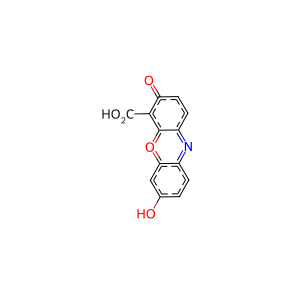 O=C(O)c1c2oc3cc(O)ccc3nc-2ccc1=O